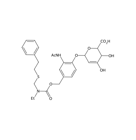 CCN(CSCCc1ccccc1)C(=O)OCc1ccc(OC2C=C(O)C(O)C(C(=O)O)O2)c(NC(C)=O)c1